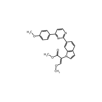 COC=C(C(=O)OC)n1ccc2ccc(-c3nccc(-c4ccc(OC)cc4)n3)cc21